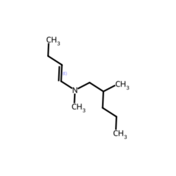 CC/C=C/N(C)CC(C)CCC